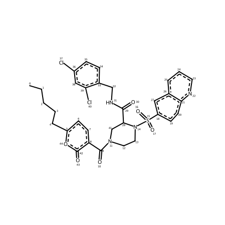 CCCCCc1ccc(C(=O)N2CCN(S(=O)(=O)c3ccc4ncccc4c3)C(C(=O)NCc3ccc(Cl)cc3Cl)C2)c(=O)o1